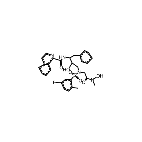 Cc1ccc(F)cc1S(=O)(=O)N(CC(=O)N(C)O)CC(O)C(Cc1ccccc1)NC(=O)c1nccc2ccccc12